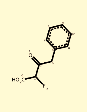 O=C(O)C(F)C(=O)Cc1ccccc1